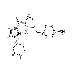 Cc1ccc(CCc2nn3c(C4CCOCC4)ncc3c(=O)n2C)cc1